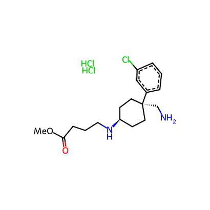 COC(=O)CCCN[C@H]1CC[C@@](CN)(c2cccc(Cl)c2)CC1.Cl.Cl